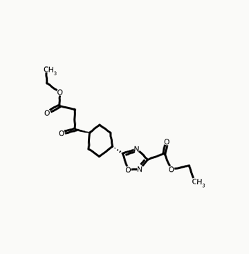 CCOC(=O)CC(=O)[C@H]1CC[C@H](c2nc(C(=O)OCC)no2)CC1